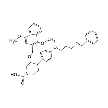 COc1cc(COC2CN(C(=O)O)CCC2c2ccc(OCCCOCc3ccccc3)cc2)c(OC)c2ccccc12